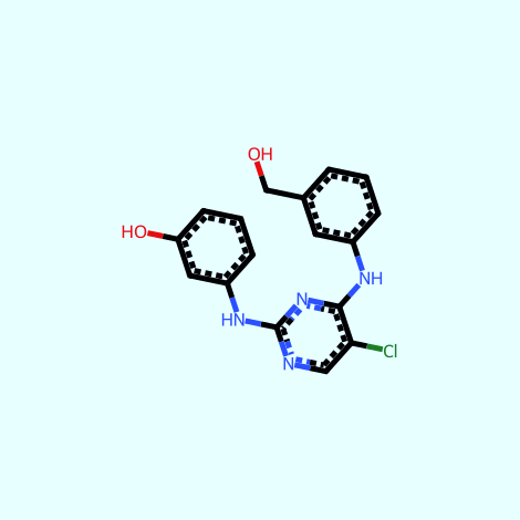 OCc1cccc(Nc2nc(Nc3cccc(O)c3)ncc2Cl)c1